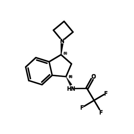 O=C(N[C@H]1C[C@H](N2CCC2)c2ccccc21)C(F)(F)F